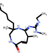 CCCCCC1(C)CNC(=O)/C=C/C(C)/C(=N\C(=N/CC)NC)N1